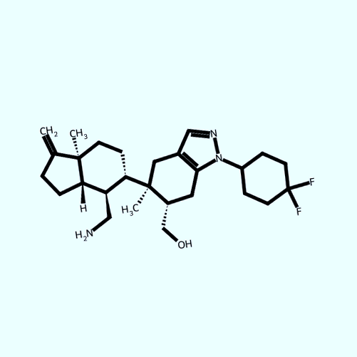 C=C1CC[C@H]2[C@H](CN)[C@@H]([C@@]3(C)Cc4cnn(C5CCC(F)(F)CC5)c4C[C@@H]3CO)CC[C@]12C